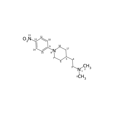 CN(C)CCC1CCN(c2ccc([N+](=O)[O-])cc2)CC1